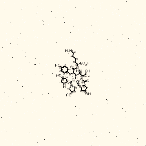 C[C@@H](O)[C@H](NC(=O)[C@@H]1C[C@@H](O)CN1C(=O)[C@@H]1C[C@@H](O)CN1C(=O)[C@@H]1C[C@@H](O)CN1)C(=O)N[C@@H](Cc1ccc(O)cc1)C(=O)N[C@@H](CCCCN)C(=O)O